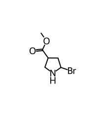 COC(=O)C1CNC(Br)C1